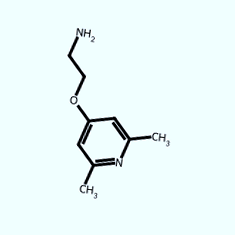 Cc1cc(OCCN)cc(C)n1